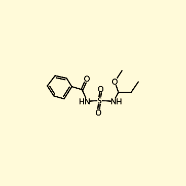 CCC(NS(=O)(=O)NC(=O)c1ccccc1)OC